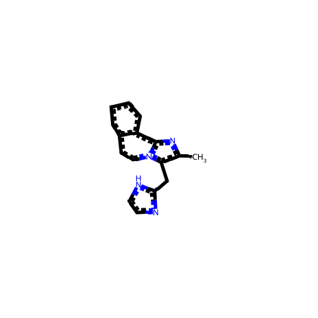 Cc1nc2c3ccccc3ccn2c1Cc1ncc[nH]1